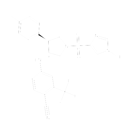 Cn1cnc(S(=O)(=O)N2C[C@H](Nc3ccc(C#N)c(C(F)(F)F)c3)[C@@H](c3ccc(F)cc3)C2)c1